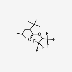 CC(C)CC(C(=O)OC(C(F)(F)F)C(F)(F)F)C(C)(C)C